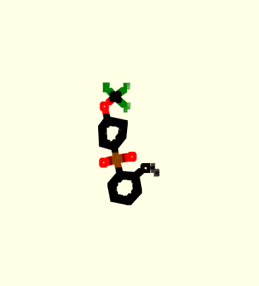 Cc1ccccc1S(=O)(=O)c1ccc(OC(F)(F)F)cc1